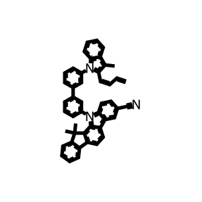 C=C/C=C\c1c(C)c2ccccc2n1-c1cccc(-c2cccc(-n3c4ccc(C#N)cc4c4ccc5c(c43)C(C)(C)c3ccccc3-5)c2)c1